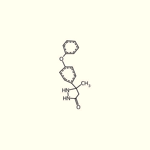 CC1(c2ccc(Oc3ccccc3)cc2)CC(=O)NN1